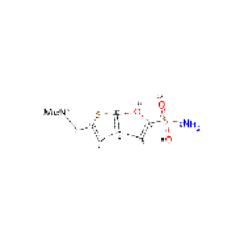 CNCc1cc2cc(S(N)(=O)=O)oc2s1